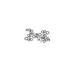 CC(C)(Nc1oc2c(c1-c1ccc3c(c1)CN1CN3Cc3cc(-c4c(NCC(=O)O)oc5c4c(=O)oc4ccccc45)ccc31)c(=O)oc1ccccc12)C(=O)O